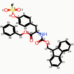 CS(=O)(=O)Oc1ccc(CC(NC(=O)OCC2c3ccccc3-c3ccccc32)C(=O)OCc2ccccc2)cc1